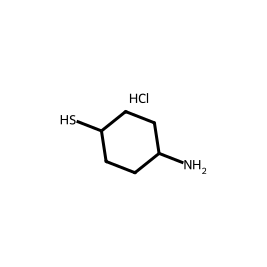 Cl.NC1CCC(S)CC1